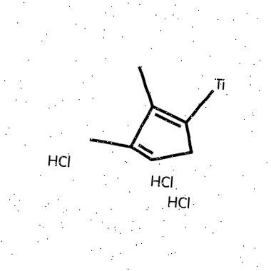 CC1=CC[C]([Ti])=C1C.Cl.Cl.Cl